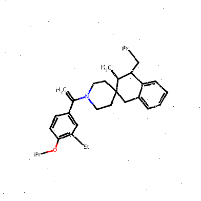 C=C(c1ccc(OC(C)C)c(CC)c1)N1CCC2(CC1)Cc1ccccc1C(CC(C)C)C2C